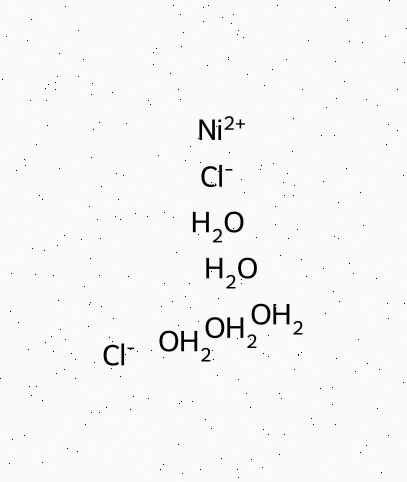 O.O.O.O.O.[Cl-].[Cl-].[Ni+2]